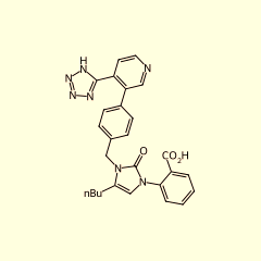 CCCCc1cn(-c2ccccc2C(=O)O)c(=O)n1Cc1ccc(-c2cnccc2-c2nnn[nH]2)cc1